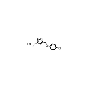 CCOC(=O)c1cc(COc2ccc(Cl)cc2)on1